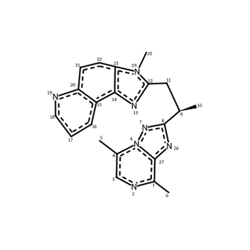 Cc1ncc(C)n2nc([C@H](C)Cc3nc4c5cccnc5ccc4n3C)nc12